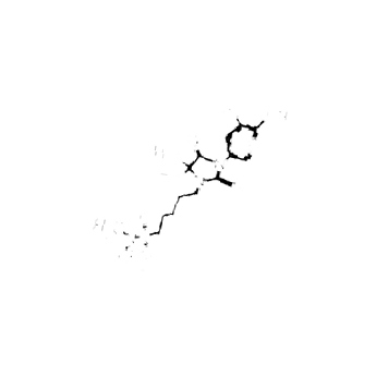 CN(C)S(=O)(=O)CCCCCN1C(=S)N(c2ccc(C#N)c(C(F)(F)F)c2)C(=O)C1(C)C